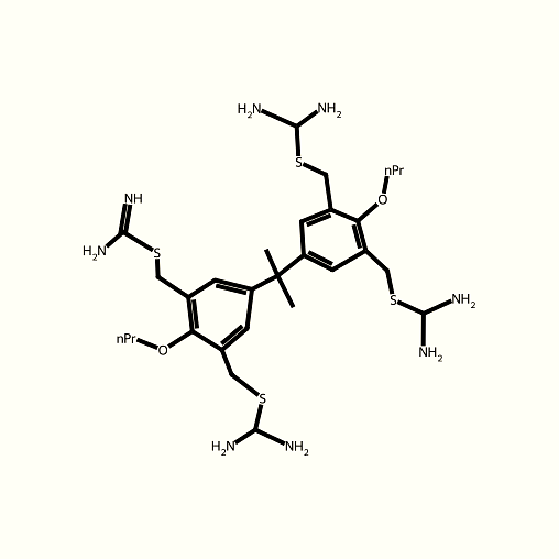 CCCOc1c(CSC(=N)N)cc(C(C)(C)c2cc(CSC(N)N)c(OCCC)c(CSC(N)N)c2)cc1CSC(N)N